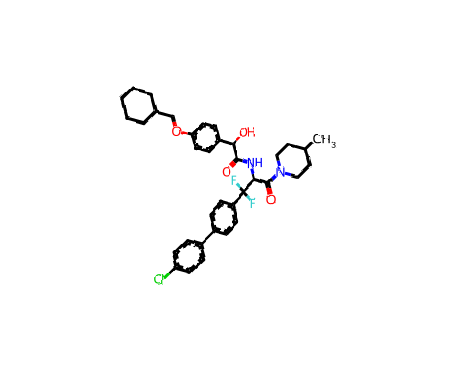 CC1CCN(C(=O)C(NC(=O)C(O)c2ccc(OCC3CCCCC3)cc2)C(F)(F)c2ccc(-c3ccc(Cl)cc3)cc2)CC1